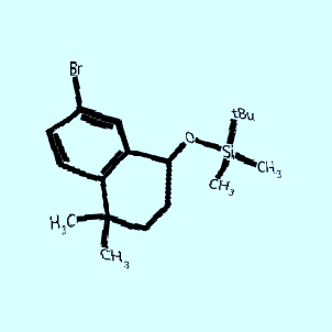 CC1(C)CCC(O[Si](C)(C)C(C)(C)C)c2cc(Br)ccc21